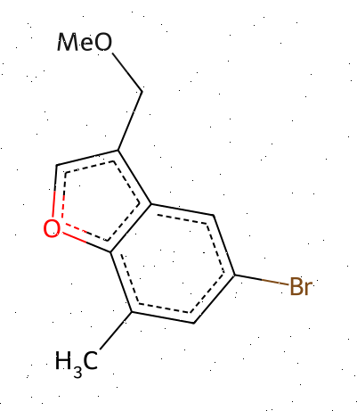 COCc1coc2c(C)cc(Br)cc12